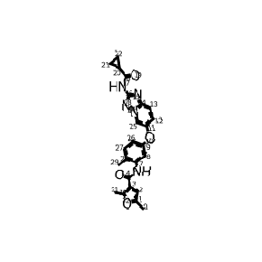 Cc1cc(C(=O)Nc2cc(Oc3ccc4nc(NC(=O)C5CC5)nn4c3)ccc2C)c(C)o1